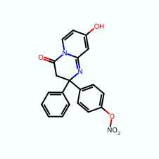 O=C1CC(c2ccccc2)(c2ccc(O[N+](=O)[O-])cc2)N=C2C=C(O)C=CN12